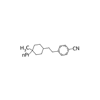 CCCC1(C)CCC(CCc2ccc(C#N)cc2)CC1